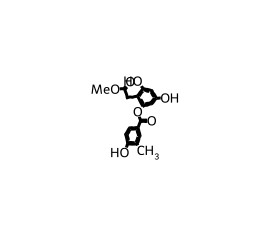 COC(=O)Cc1c(O)cc(O)cc1OC(=O)c1ccc(O)c(C)c1